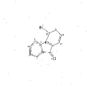 O=C1C2=C(c3ccccc31)C(Br)CC=C2